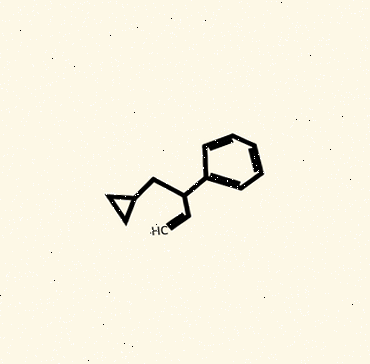 [CH]=CC(CC1CC1)c1ccccc1